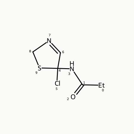 CCC(=O)NC1(Cl)C=NCS1